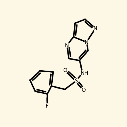 O=S(=O)(Cc1ccccc1F)Nc1cnc2ccnn2c1